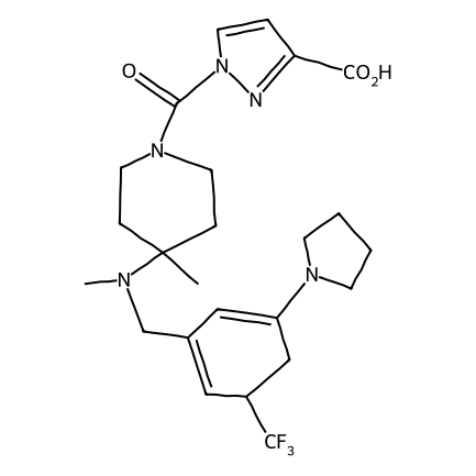 CN(CC1=CC(C(F)(F)F)CC(N2CCCC2)=C1)C1(C)CCN(C(=O)n2ccc(C(=O)O)n2)CC1